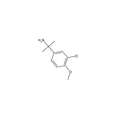 COc1ccc(C(C)(C)N)cc1Cl